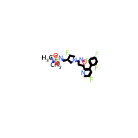 CN(C)S(=O)(=O)/N=C/C1CN(C2=NOC(c3ncc(F)cc3-c3c(F)cc(F)cc3F)C2)C[C@@H]1F